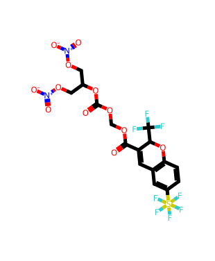 O=C(OCOC(=O)C1=Cc2cc(S(F)(F)(F)(F)F)ccc2OC1C(F)(F)F)OC(CO[N+](=O)[O-])CO[N+](=O)[O-]